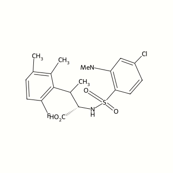 CNc1cc(Cl)ccc1S(=O)(=O)N[C@H](C(=O)O)C(C)c1c(F)ccc(C)c1C